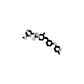 COc1cncc(NC(=O)N2CCC(=Cc3cccc(Oc4ccc(C)nc4)c3)C(C)C2)n1